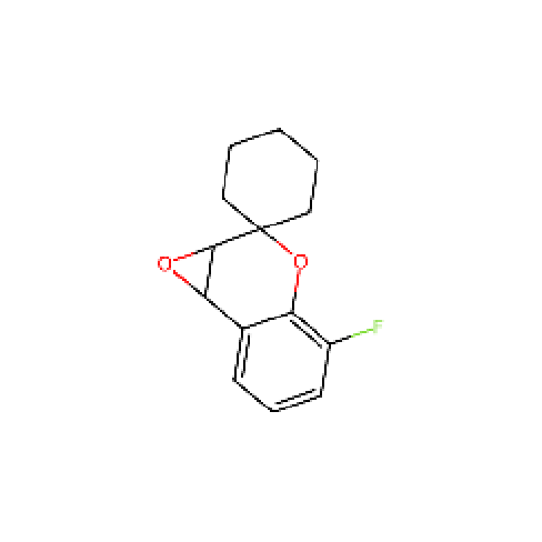 Fc1cccc2c1OC1(CCCCC1)C1OC21